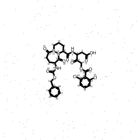 O=C(O)CC(NC(=O)C1CCCN2C(=O)CCC(NC(=O)OCc3ccccc3)C(=O)N12)C(=O)COC(=O)c1c(Cl)cccc1Cl